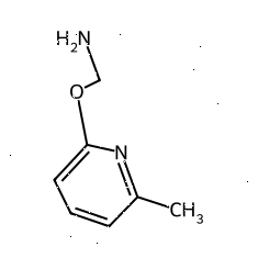 Cc1cccc(OCN)n1